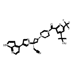 CC(C)(O)c1cc(C(=O)N2CCN([C@H]3C[C@@](CC#N)(n4cc(-c5ccnc6[nH]ccc56)cn4)C3)CC2)nc(C(F)(F)F)c1